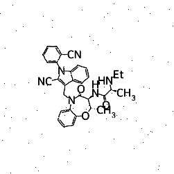 CCN[C@@H](C)C(=O)N[C@@H]1C(=O)N(Cc2c(C#N)n(-c3ccccc3C#N)c3ccccc23)c2ccccc2O[C@H]1C